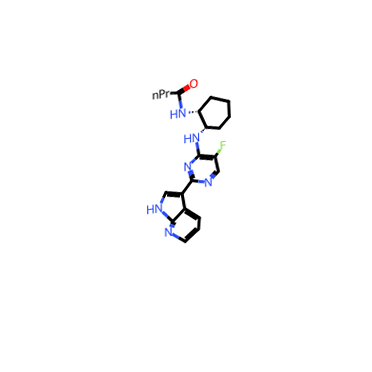 CCCC(=O)N[C@@H]1CCCC[C@@H]1Nc1nc(-c2c[nH]c3ncccc23)ncc1F